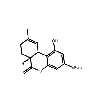 C=C1Oc2cc(CCCCC)cc(O)c2C2C=C(C)CC[C@@H]12